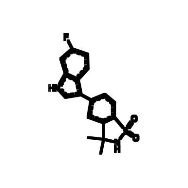 CC1(C)NS(=O)(=O)c2ccc(-c3c[nH]c4cc(F)ccc34)cc21